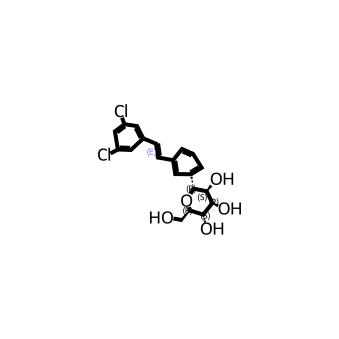 OC[C@H]1O[C@H](c2cccc(/C=C/c3cc(Cl)cc(Cl)c3)c2)[C@@H](O)[C@@H](O)[C@@H]1O